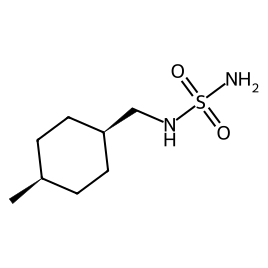 C[C@H]1CC[C@@H](CNS(N)(=O)=O)CC1